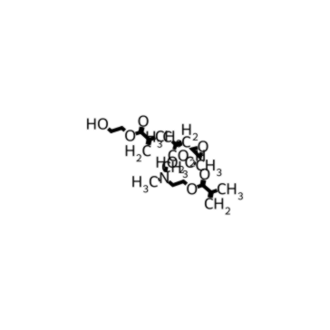 C1CO1.C=C(C)C(=O)O.C=C(C)C(=O)OCCN(C)C.C=C(C)C(=O)OCCO.CC(=O)O